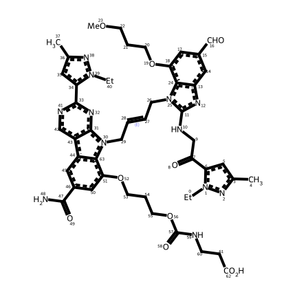 CCn1nc(C)cc1C(=O)CNc1nc2cc(C=O)cc(OCCCOC)c2n1C/C=C/Cn1c2nc(-c3cc(C)nn3CC)ncc2c2cc(C(N)=O)cc(OCCCOC(=O)NCCC(=O)O)c21